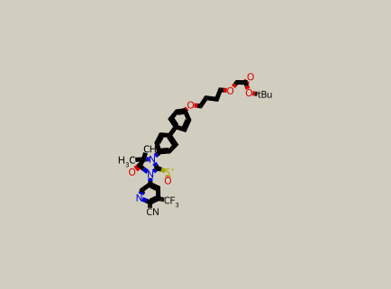 CC(C)(C)OC(=O)COCCCCOc1ccc(-c2ccc(N3C([S+]=O)N(c4cnc(C#N)c(C(F)(F)F)c4)C(=O)C3(C)C)cc2)cc1